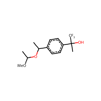 COC(C)OC(C)c1ccc(C(C)(O)C(F)(F)F)cc1